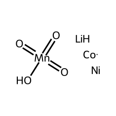 [Co].[LiH].[Ni].[O]=[Mn](=[O])(=[O])[OH]